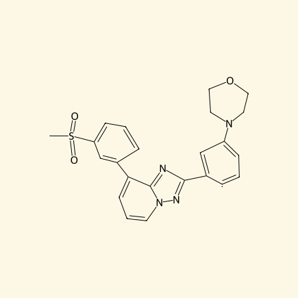 CS(=O)(=O)c1cccc(-c2cccn3nc(-c4[c]ccc(N5CCOCC5)c4)nc23)c1